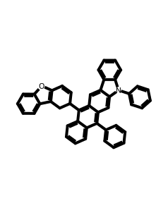 C1=CC(c2c3ccccc3c(-c3ccccc3)c3cc4c(cc23)c2ccccc2n4-c2ccccc2)Cc2c1oc1ccccc21